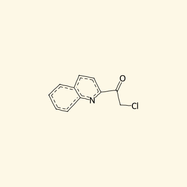 O=C(CCl)c1ccc2ccccc2n1